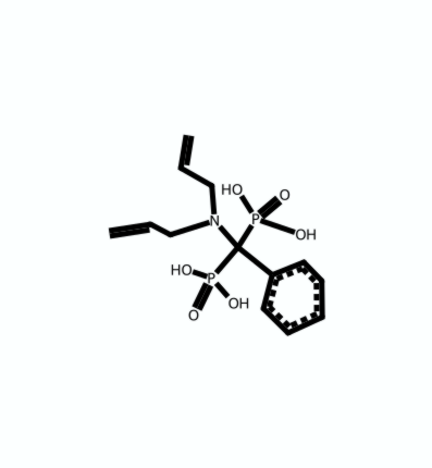 C=CCN(CC=C)C(c1ccccc1)(P(=O)(O)O)P(=O)(O)O